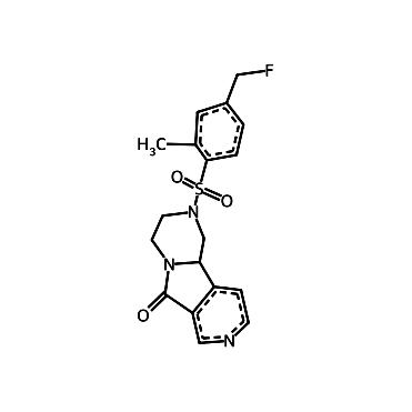 Cc1cc(CF)ccc1S(=O)(=O)N1CCN2C(=O)c3cnccc3C2C1